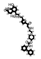 O=C(Nc1ccccc1-c1ccccc1)OC1CCN(CCNCC(=O)c2ccc(CNCC(O)c3ccc(O)c4[nH]c(=O)ccc34)s2)CC1